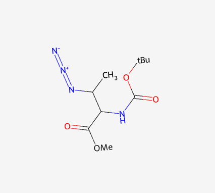 COC(=O)C(NC(=O)OC(C)(C)C)C(C)N=[N+]=[N-]